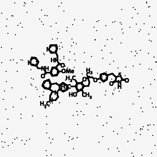 CN1CCN2c3ccccc3Cc3ccccc3C2C1.COc1ccc(C(=O)NCc2cccnc2)cc1C(=O)NCc1cccnc1.Cc1c(C)c2c(c(C)c1O)CCC(C)(COc1ccc(CC3SC(=O)NC3=O)cc1)O2